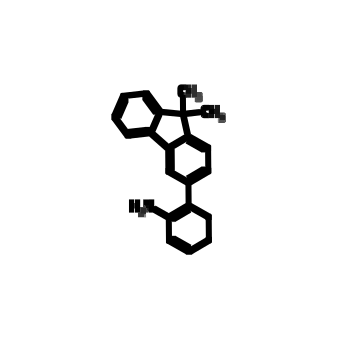 CC1(C)c2ccccc2-c2cc(C3=C(N)C=CCC3)ccc21